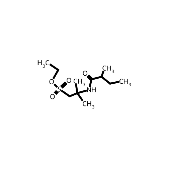 CCOS(=O)(=O)CC(C)(C)NC(=O)C(C)CC